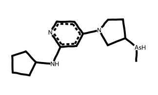 C[AsH]C1CCN(c2ccnc(NC3CCCC3)c2)C1